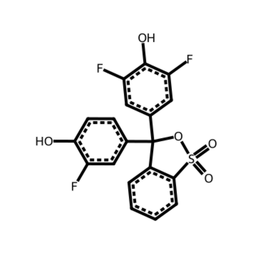 O=S1(=O)OC(c2ccc(O)c(F)c2)(c2cc(F)c(O)c(F)c2)c2ccccc21